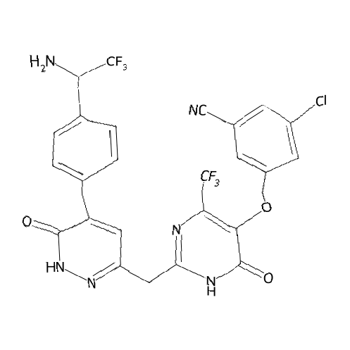 N#Cc1cc(Cl)cc(Oc2c(C(F)(F)F)nc(Cc3cc(-c4ccc(C(N)C(F)(F)F)cc4)c(=O)[nH]n3)[nH]c2=O)c1